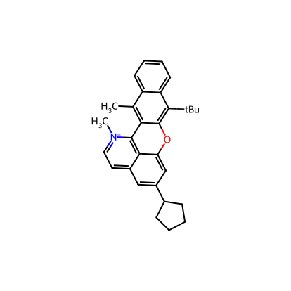 Cc1c2c(c(C(C)(C)C)c3ccccc13)Oc1cc(C3CCCC3)cc3cc[n+](C)c-2c13